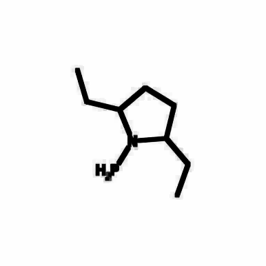 CCC1CCC(CC)N1P